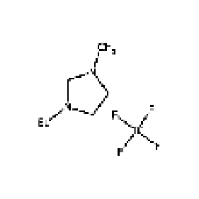 CCN1CCN(C)C1.F[B-](F)(F)F